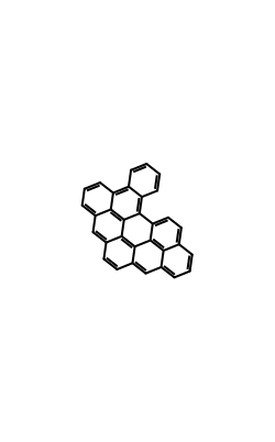 c1cc2ccc3c4c5ccccc5c5cccc6cc7ccc8cc(c1)c2c3c8c7c4c65